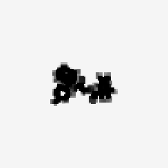 CC1CCC(C2(OC(=O)COC(=O)C(C)(CC(C)(C)C)C(C)(C)C)C3CC4CC(C3)CC2C4)CC1